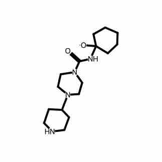 [O]C1(NC(=O)N2CCN(C3CCNCC3)CC2)CCCCC1